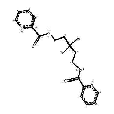 CC(C)(CCNC(=O)c1ccccn1)CCNC(=O)c1ccccn1